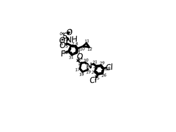 CS(=O)(=O)NC(=O)c1cc(C2CC2)c(OC[C@@H]2CCCN(Cc3cc(Cl)cc(Cl)c3)C2)cc1F